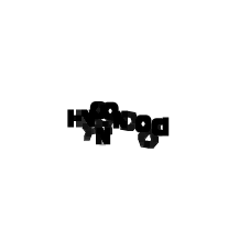 Cc1c[nH]c(=O)c2c(C(=O)N3CCC(Oc4ccccc4Cl)CC3)cn(C)c12